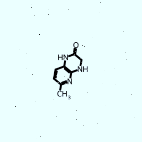 Cc1ccc2c(n1)NCC(=O)N2